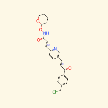 O=C(/C=C/c1ccc(/C=C/C(=O)c2ccc(CCl)cc2)cn1)NOC1CCCCO1